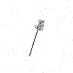 CCCCCCCCC=CCCCCCCCCNC(=O)NCC(=O)O